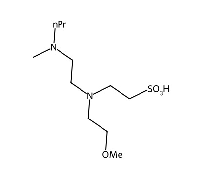 CCCN(C)CCN(CCOC)CCS(=O)(=O)O